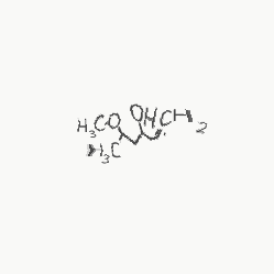 C=[C]C(O)CC(C)OC